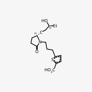 CC[C@H](O)CC[C@H]1CCC(=O)N1CCCc1ccc(C(=O)O)s1